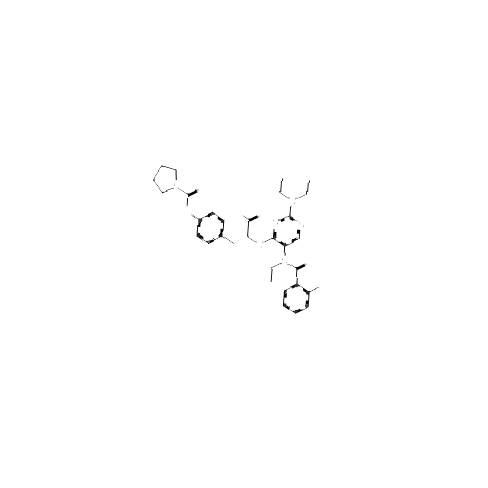 CCN(CC)c1ncc(N(CC)C(=O)c2ccccc2Cl)c(N[C@@H](Cc2ccc(OC(=O)N3CCCC3)cc2)C(=O)O)n1